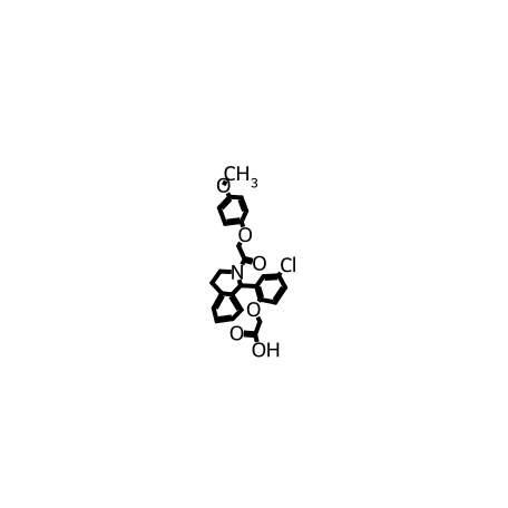 COc1ccc(OCC(=O)N2CCc3ccccc3C2c2cc(Cl)ccc2OCC(=O)O)cc1